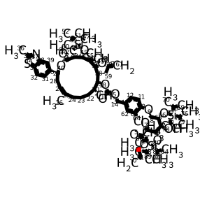 C=CCOC(=O)[C@H]1O[C@@H](Oc2ccc(COC(=O)O[C@H]3[C@@H](C)CCC/C(C)=C\C[C@@H](c4ccc5sc(C)nc5c4)OC(=O)C[C@H](O[Si](C)(C)C(C)(C)C)C(C)(C)C(=O)[C@@H]3CC=C)cc2Cl)[C@H](O[Si](C(C)C)(C(C)C)C(C)C)[C@@H](O)[C@@H]1O[Si](C(C)C)(C(C)C)C(C)C